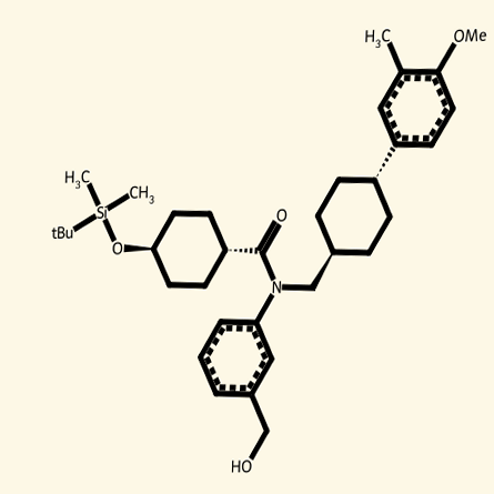 COc1ccc([C@H]2CC[C@H](CN(c3cccc(CO)c3)C(=O)[C@H]3CC[C@H](O[Si](C)(C)C(C)(C)C)CC3)CC2)cc1C